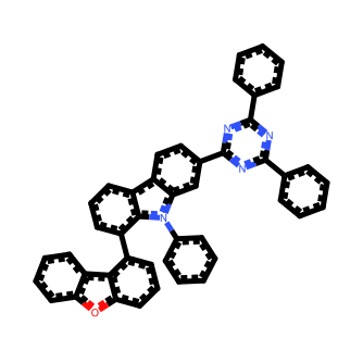 c1ccc(-c2nc(-c3ccccc3)nc(-c3ccc4c5cccc(-c6cccc7oc8ccccc8c67)c5n(-c5ccccc5)c4c3)n2)cc1